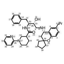 CC(C)c1ccc2c(c1)[C@@H](NC[C@@H](O)[C@H](Cc1ccccc1)NC(=O)C1CCCN(c3ccccn3)C1)CC1(CCCC1)O2